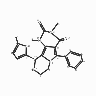 Cc1ccc([C@@H]2NCCn3c(-c4ccccc4)c4c(=O)n(C)c(=O)n(C)c4c32)o1